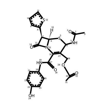 CC(=O)NC1S[C@@H]2[C@H](c3cccs3)C(=O)N2C(C(=O)Nc2ccc(O)cc2)=C1COC(C)=O